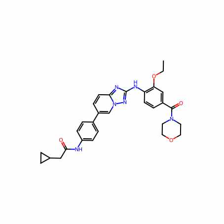 CCOc1cc(C(=O)N2CCOCC2)ccc1Nc1nc2ccc(-c3ccc(NC(=O)CC4CC4)cc3)cn2n1